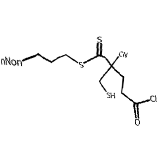 CCCCCCCCCCCCSC(=S)C(C#N)(CS)CCC(=O)Cl